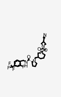 N#CC1CN(S(=O)(=O)N2CCCC(CN3CCC[C@@H]3C(=O)NCc3ccc(C(F)(F)F)cc3F)C2)C1